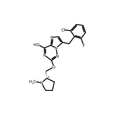 CN1CCC[C@H]1COc1nc(O)c2ncc(Cc3c(F)cccc3Cl)n2n1